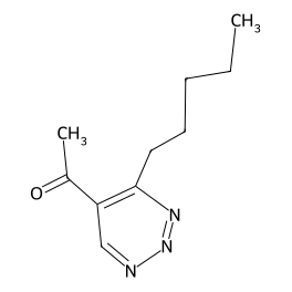 CCCCCc1nnncc1C(C)=O